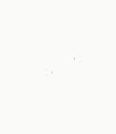 CCCCc1ccc(COC2CCC(c3ccc(C4CCC(CCC)CC4)c(F)c3F)CC2)c(F)c1F